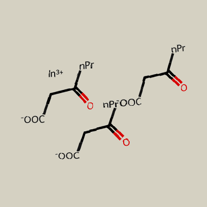 CCCC(=O)CC(=O)[O-].CCCC(=O)CC(=O)[O-].CCCC(=O)CC(=O)[O-].[In+3]